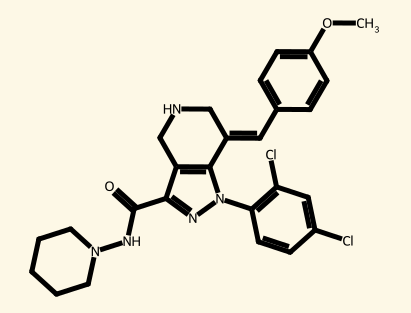 COc1ccc(C=C2CNCc3c(C(=O)NN4CCCCC4)nn(-c4ccc(Cl)cc4Cl)c32)cc1